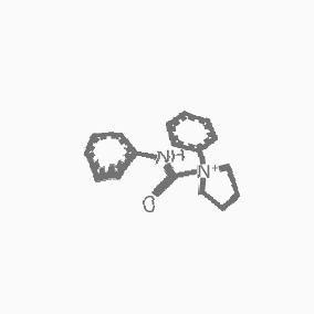 O=C(Nc1ccccc1)[N+]1(c2ccccc2)CCCC1